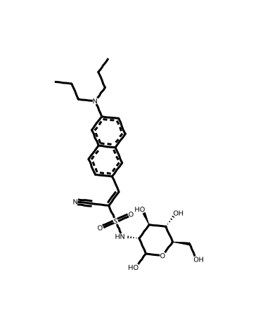 CCCN(CCC)c1ccc2cc(/C=C(\C#N)S(=O)(=O)N[C@H]3C(O)O[C@H](CO)[C@@H](O)[C@@H]3O)ccc2c1